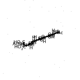 CC(=O)N[C@@H](CC(=O)O)C(=O)N[C@@H](CCCCNC(=S)Nc1ccc(NC(=S)NCCCCCN(O)C(=O)CCC(=O)NCCCCCN(O)C(=O)CCC(=O)NCCCCCN(O)C(C)=O)cc1)C(=O)O